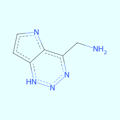 NCc1nn[nH]c2ccnc1-2